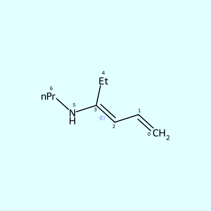 C=C/C=C(\CC)NCCC